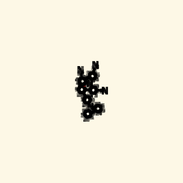 N#Cc1ccc(-c2ccccc2-c2ccc(-n3c4ccccc4c4ccccc43)cc2)c(-n2c3ccc(C#N)cc3c3c(C#N)cccc32)c1